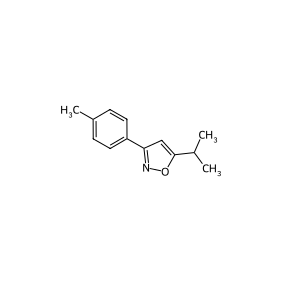 Cc1ccc(-c2cc(C(C)C)on2)cc1